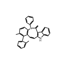 C=C1c2c([nH]c3ccccc23)/C=C\c2c(ccc(C)c2-c2ccccc2C)N1c1ccccc1